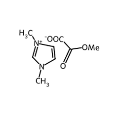 COC(=O)C(=O)[O-].Cn1cc[n+](C)c1